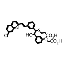 O=C(O)CCSC(c1cccc(C=Cc2ccc3ccc(Cl)cc3n2)c1)C(O)c1cccc(OCC(=O)O)c1